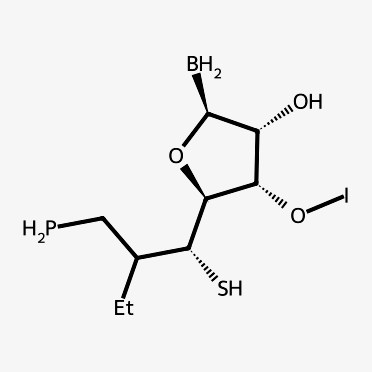 B[C@@H]1O[C@H]([C@H](S)C(CC)CP)[C@@H](OI)[C@H]1O